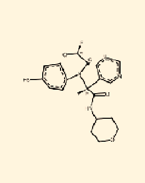 C[C@](C(=O)NC1CCOCC1)(c1cncnc1)N(C(=O)[C@H](F)Cl)c1ccc(S)cc1